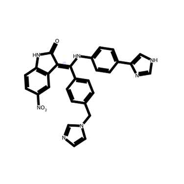 O=C1Nc2ccc([N+](=O)[O-])cc2/C1=C(/Nc1ccc(-c2c[nH]cn2)cc1)c1ccc(Cn2ccnc2)cc1